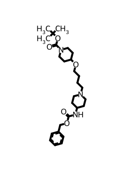 CC(C)(C)OC(=O)N1CCC(OCCCCN2CCC(NC(=O)OCc3ccccc3)CC2)CC1